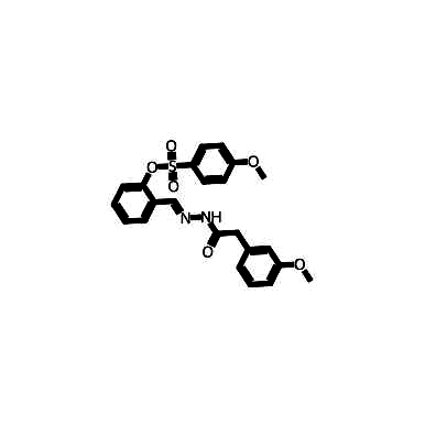 COc1ccc(S(=O)(=O)Oc2ccccc2C=NNC(=O)Cc2cccc(OC)c2)cc1